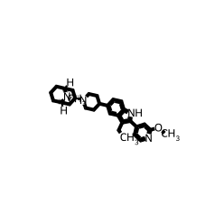 CCc1c(-c2ccnc(OC)c2)[nH]c2ccc(C3CCN([C@@H]4C[C@H]5CCC[C@@H](C4)N5C)CC3)cc12